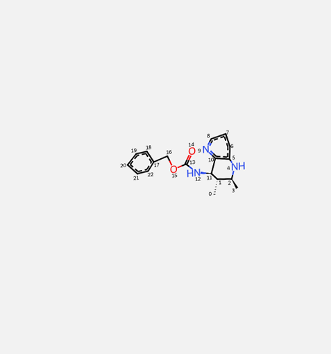 C[C@H]1[C@H](C)Nc2cccnc2[C@@H]1NC(=O)OCc1ccccc1